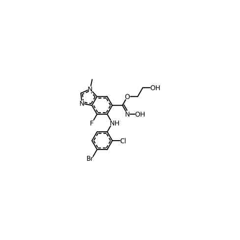 Cn1cnc2c(F)c(Nc3ccc(Br)cc3Cl)c(C(=NO)OCCO)cc21